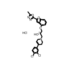 Cc1nnc(-c2cc3c(OC[C@@H](O)CN4CC=C(c5ccc(Cl)c(Cl)c5)CC4)cccc3o2)o1.Cl